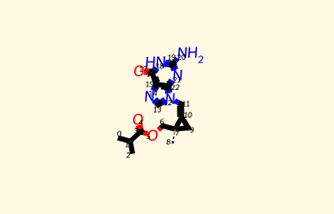 CC(C)C(=O)OC[C@]1(C)C/C1=C/n1cnc2c(=O)[nH]c(N)nc21